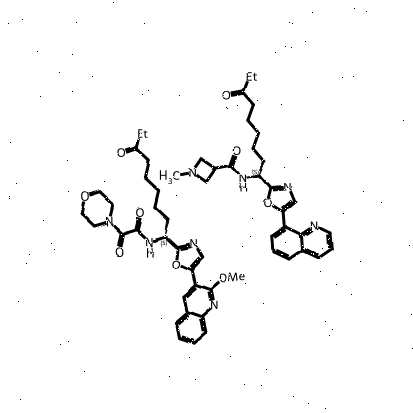 CCC(=O)CCCCC[C@H](NC(=O)C(=O)N1CCOCC1)c1ncc(-c2cc3ccccc3nc2OC)o1.CCC(=O)CCCCC[C@H](NC(=O)C1CN(C)C1)c1ncc(-c2cccc3cccnc23)o1